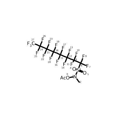 CC(=O)ON(C)S(=O)(=O)C(F)(F)C(F)(F)C(F)(F)C(F)(F)C(F)(F)C(F)(F)C(F)(F)C(F)(F)F